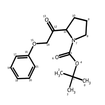 CC(C)(C)OC(=O)N1CCCC1C(=O)COc1ccccc1